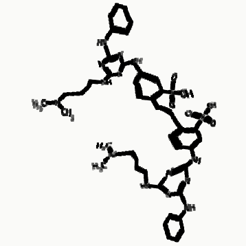 CN(C)CCCNc1nc(Nc2ccccc2)nc(Nc2ccc(/C=C/c3ccc(Nc4nc(NCCCN(C)C)nc(Nc5ccccc5)n4)cc3S(=O)(=O)O)c(S(=O)(=O)O)c2)n1